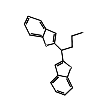 [CH2]CCC(c1cc2ccccc2s1)c1cc2ccccc2s1